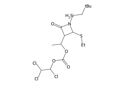 CCSC1C(C(C)OC(=O)OC(Cl)C(Cl)Cl)C(=O)N1[SiH2]CC(C)(C)C